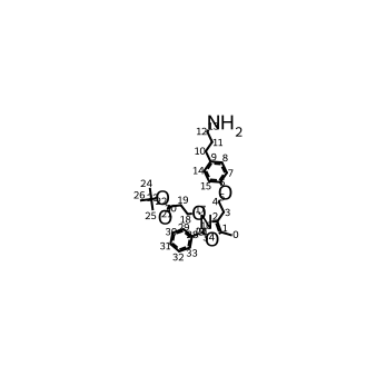 CC1=C(CCOc2ccc(CCCN)cc2)N(OCCC(=O)OC(C)(C)C)[C@H](c2ccccc2)O1